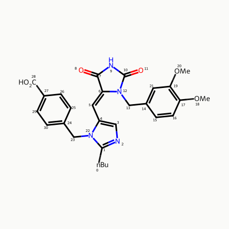 CCCCc1ncc(/C=C2/C(=O)NC(=O)N2Cc2ccc(OC)c(OC)c2)n1Cc1ccc(C(=O)O)cc1